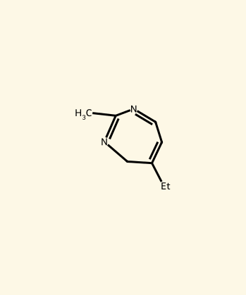 CCC1=CC=NC(C)=NC1